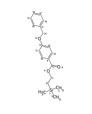 C[Si](C)(C)CCOC(=O)c1ccc(OCc2ccccc2)cc1